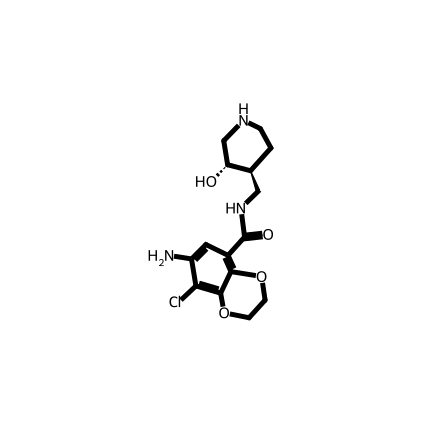 Nc1cc(C(=O)NC[C@@H]2CCNC[C@H]2O)c2c(c1Cl)OCCO2